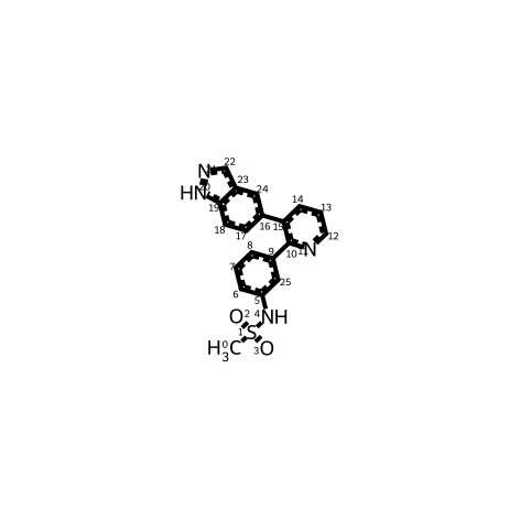 CS(=O)(=O)Nc1cccc(-c2ncccc2-c2ccc3[nH]ncc3c2)c1